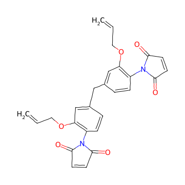 C=CCOc1cc(Cc2ccc(N3C(=O)C=CC3=O)c(OCC=C)c2)ccc1N1C(=O)C=CC1=O